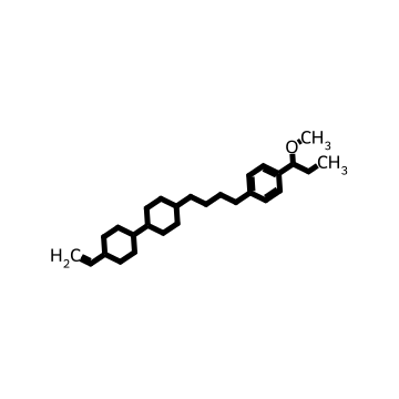 C=CC1CCC(C2CCC(CCCCc3ccc(C(CC)OC)cc3)CC2)CC1